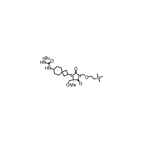 CCCCNC(=O)NC1CCC2(CC1)CC(N1C(=O)N(COCC[Si](C)(C)C)C(=O)[C@@]1(C)COC)C2